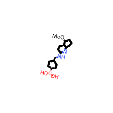 COc1cccc2nc(NCc3ccc(B(O)O)cc3)ccc12